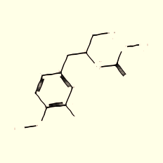 CCCCOc1ccc(CC(CO)NC(=O)OC(C)(C)C)cc1F